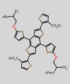 CCCCCC(C)COc1ccc(-c2c3cc(-c4sccc4C(=O)OCC)sc3c(-c3ccc(OCC(CC)CCCC)s3)c3cc(-c4sccc4C(=O)OCC)sc23)s1